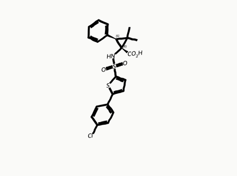 CC1(C)[C@H](c2ccccc2)[C@]1(NS(=O)(=O)c1ccc(-c2ccc(Cl)cc2)s1)C(=O)O